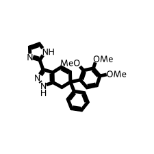 COc1ccc(C2(c3ccccc3)C=Cc3c(-c4ncc[nH]4)n[nH]c3C2)c(OC)c1OC